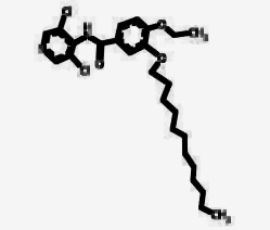 CCCCCCCCCCCCOc1cc(C(=O)Nc2c(Cl)cncc2Cl)ccc1OCC